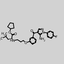 CC(C)C[C@H](NCCCOc1cccc(C(=O)c2cnn(-c3ccc(F)cc3)c2N)c1)C(=O)OC1CCCC1